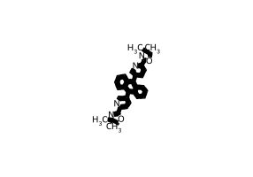 CC1(C)COC(c2ccc(-c3c4ccccc4c(-c4ccc(C5=NC(C)(C)CO5)nc4)c4ccccc34)cn2)=N1